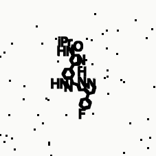 CC(C)C(=O)Nc1cncc(-c2ccc3[nH]nc(-c4cc5c(-c6ccc(F)cc6)ccnc5[nH]4)c3c2)c1